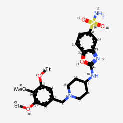 CCOc1cc(CN2CCC(Nc3nc4cc(S(N)(=O)=O)ccc4o3)CC2)cc(OCC)c1OC